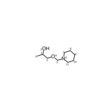 CC(O)COCN1CCCCC1